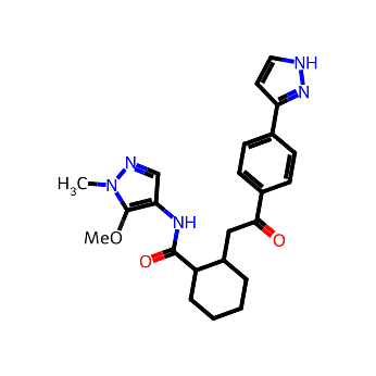 COc1c(NC(=O)C2CCCCC2CC(=O)c2ccc(-c3cc[nH]n3)cc2)cnn1C